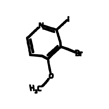 COc1ccnc(I)c1Br